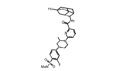 CNS(=O)(=O)c1ccc(N2CCN(c3cccc(C(=O)NC4C5CC6CC4CC(O)(C6)C5)n3)C(C)C2)cc1F